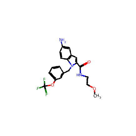 COCCNC(=O)c1cc2cc(N)ccc2n1Cc1cccc(OC(F)(F)F)c1